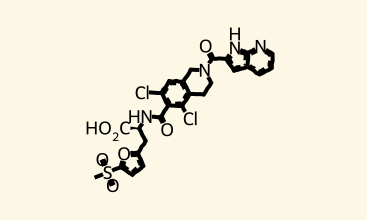 CS(=O)(=O)c1ccc(C[C@H](NC(=O)c2c(Cl)cc3c(c2Cl)CCN(C(=O)c2cc4cccnc4[nH]2)C3)C(=O)O)o1